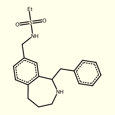 CCS(=O)(=O)NCc1ccc2c(c1)C(Cc1ccccc1)NCCC2